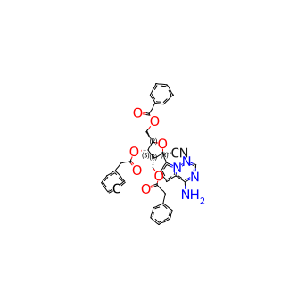 N#C[C@@]1(c2ccc3c(N)ncnn23)O[C@H](COC(=O)c2ccccc2)[C@@H](OC(=O)Cc2ccccc2)[C@H]1COC(=O)Cc1ccccc1